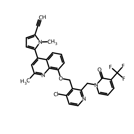 C#Cc1ccc(-c2cc(C)nc3c(OCc4c(Cl)ccnc4Cn4cccc(C(F)(F)F)c4=O)cccc23)n1C